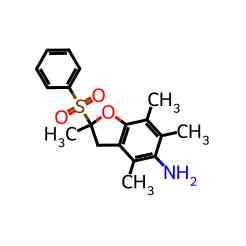 Cc1c(C)c2c(c(C)c1N)CC(C)(S(=O)(=O)c1ccccc1)O2